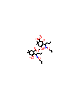 C=CCO/N=C(\CCC)C1=C(O)CC(C)(C)C(C(=O)OC)C1=O.C=CCO/N=C(\CCC)C1=C(O)CC(C)(C)CC1C(=O)OC